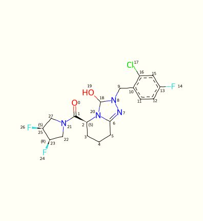 O=C([C@@H]1CCCC2=NN(Cc3ccc(F)cc3Cl)C(O)N21)N1C[C@@H](F)[C@@H](F)C1